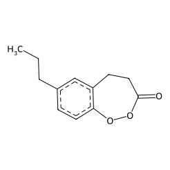 CCCc1ccc2c(c1)CCC(=O)OO2